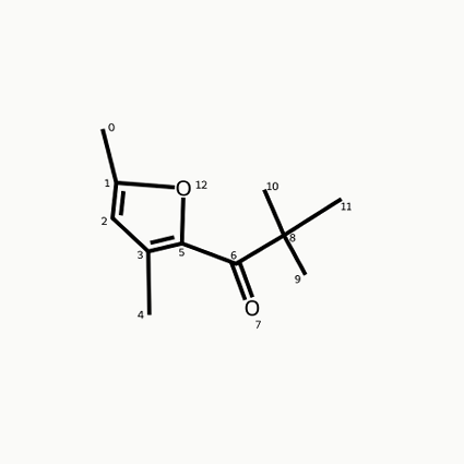 Cc1cc(C)c(C(=O)C(C)(C)C)o1